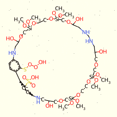 CO[Si]1(OC)COCC(O)CNCNCC(O)OC[Si](OC)(OC)OCCO[Si](OC)(OC)COC(O)CNc2ccc(c(SOOO)c2)-c2ccc(cc2S(=O)(=O)O)NCC(O)COC[Si](OC)(OC)OCCO1